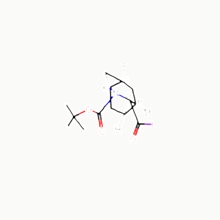 CC(C)(C)OC(=O)N1[C@H](C(=O)I)[C@@H]2CC[C@]13C[C@@]3(F)C2